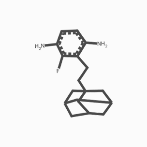 Nc1ccc(N)c(CCC23CC4CC(CC(C4)C2)C3)c1F